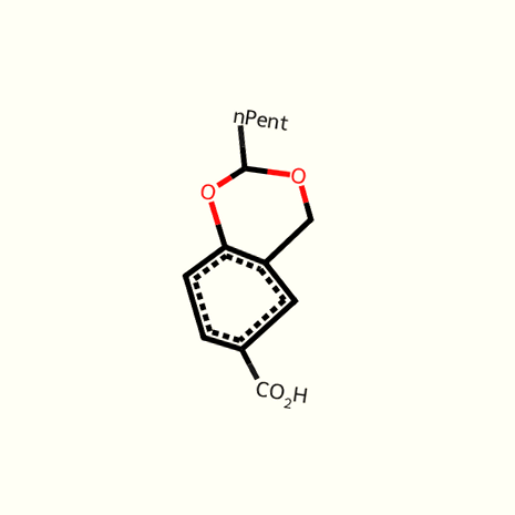 CCCCCC1OCc2cc(C(=O)O)ccc2O1